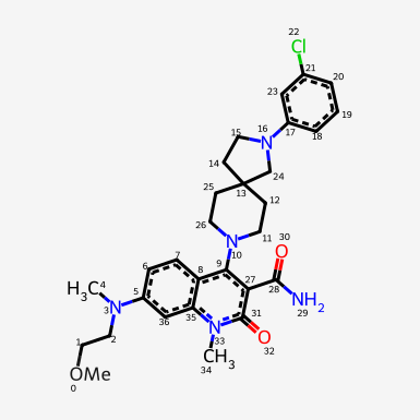 COCCN(C)c1ccc2c(N3CCC4(CCN(c5cccc(Cl)c5)C4)CC3)c(C(N)=O)c(=O)n(C)c2c1